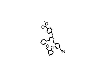 COC(=O)c1ccc(CC(/C=C/c2ccccc2OCc2ccccc2Cl)CCc2ccc(C#N)cc2)cc1